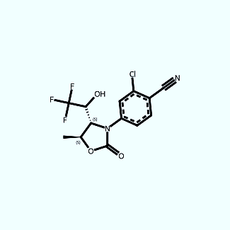 C[C@@H]1OC(=O)N(c2ccc(C#N)c(Cl)c2)[C@H]1C(O)C(F)(F)F